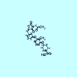 CC(=O)CN1C(=O)SC(=Cc2cccc(Oc3ncnc(OC4CCN(C(=O)O)CC4)c3C)c2)C1=O